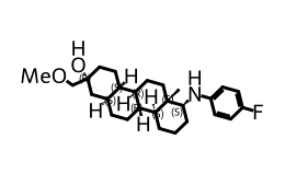 COC[C@@]1(O)CC[C@H]2[C@@H](CC[C@@H]3[C@@H]2CC[C@]2(C)[C@@H](Nc4ccc(F)cc4)CCC[C@@H]32)C1